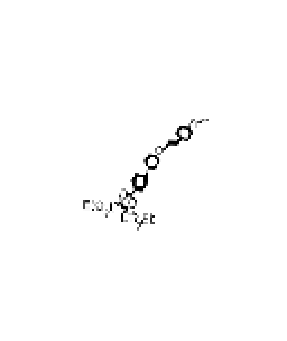 CCCC1CCC(/C=C/COc2ccc(-c3ccc(C4OC(C(=O)OCC)C(C(=O)OCC)O4)cc3)cc2)CC1